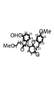 COCCn1c(=O)n(C2CCC(=O)N(Cc3ccc(OC)cc3)C2=O)c2cccc(C=O)c21